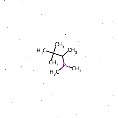 CC(P(C)C)C(C)(C)C